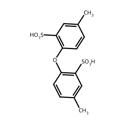 Cc1ccc(Oc2ccc(C)cc2S(=O)(=O)O)c(S(=O)(=O)O)c1